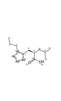 CCCn1nnnc1C[C@@H](CC(C)C)C(=O)O